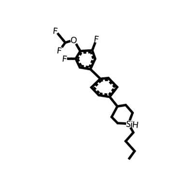 CCCC[SiH]1CCC(c2ccc(-c3cc(F)c(OC(F)F)c(F)c3)cc2)CC1